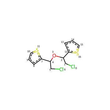 ClCC(OC(CCl)c1cccs1)c1cccs1